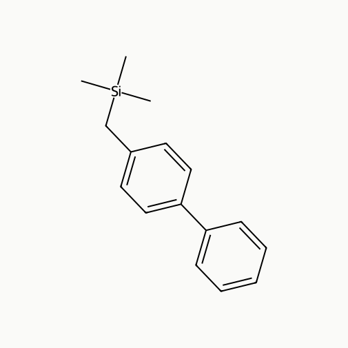 C[Si](C)(C)Cc1ccc(-c2ccccc2)cc1